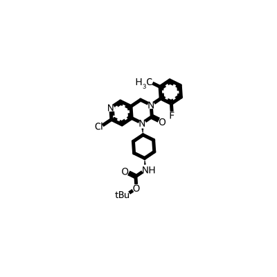 Cc1cccc(F)c1N1Cc2cnc(Cl)cc2N([C@H]2CC[C@@H](NC(=O)OC(C)(C)C)CC2)C1=O